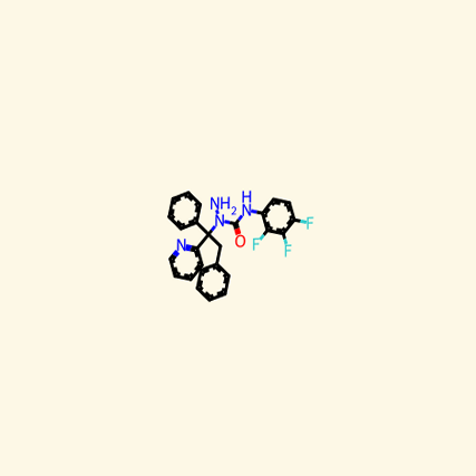 NN(C(=O)Nc1ccc(F)c(F)c1F)C(Cc1ccccc1)(c1ccccc1)c1ccccn1